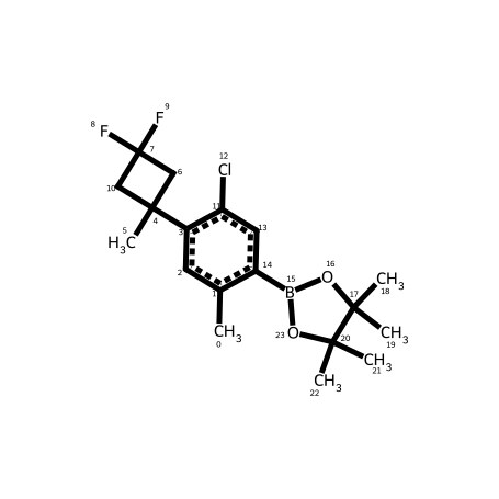 Cc1cc(C2(C)CC(F)(F)C2)c(Cl)cc1B1OC(C)(C)C(C)(C)O1